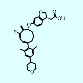 C=C1/C(F)=C\C=C(\c2c(C)cc(C3CCOCC3)cc2C)CCC[C@H]1Oc1ccc2c(c1)OC[C@H]2CC(=O)O